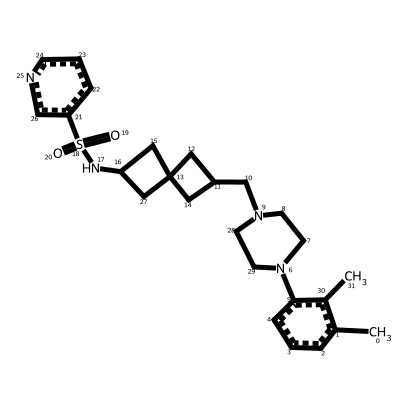 Cc1cccc(N2CCN(CC3CC4(C3)CC(NS(=O)(=O)c3cccnc3)C4)CC2)c1C